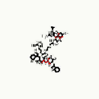 CCCC[C@@H](C(=O)N(C)[C@@H](CCCC)C(=O)N[C@@H](CCCNC(=N)N)C(=O)NCCSCC(=O)N[C@@H](Cc1ccc(O)cc1)C(=O)N(C)[C@@H](C)C(=O)N[C@@H](CC(N)=O)C(=O)NC1CC1)N(C)C(=O)[C@H](Cc1csc2ccccc12)NC(=O)CNC(=O)[C@H](Cc1c[nH]c2ccccc12)NC